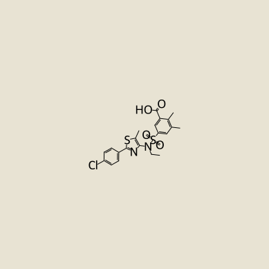 CCN(c1nc(-c2ccc(Cl)cc2)sc1C)S(=O)(=O)c1cc(C)c(C)c(C(=O)O)c1